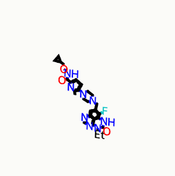 CCN1C(=O)Nc2c(F)c(CN3CCN(c4ccc(C(=O)NOCC5CC5)nc4C)CC3)cc3ncnc1c23